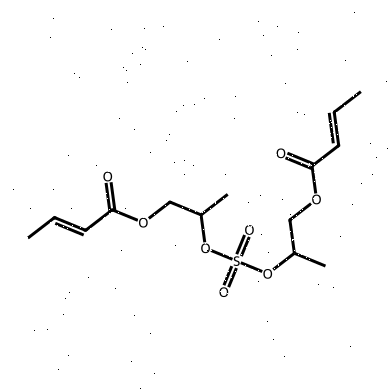 CC=CC(=O)OCC(C)OS(=O)(=O)OC(C)COC(=O)C=CC